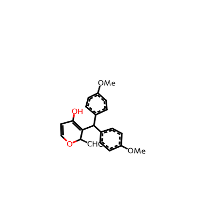 COc1ccc(C(C2=C(O)C=COC2C=O)c2ccc(OC)cc2)cc1